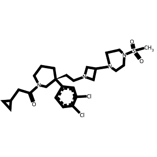 CS(=O)(=O)N1CCN(C2CN(CC[C@]3(c4ccc(Cl)c(Cl)c4)CCCN(C(=O)CC4CC4)C3)C2)CC1